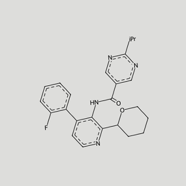 CC(C)c1ncc(C(=O)Nc2c(-c3ccccc3F)ccnc2C2CCCCO2)cn1